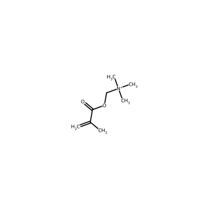 C=C(C)C(=O)OC[N+](C)(C)C